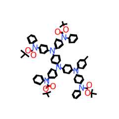 Cc1ccc(N(c2ccc(N(C(=O)OC(C)(C)C)c3ccccc3)cc2)c2ccc(N(c3ccc(N(C(=O)OC(C)(C)C)c4ccccc4)cc3)c3ccc(N(c4ccc(N(C(=O)OC(C)(C)C)c5ccccc5)cc4)c4ccc(N(C(=O)OC(C)(C)C)c5ccccc5)cc4)cc3)cc2)cc1